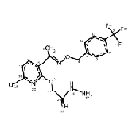 C/C(=N\OCc1ccc(C(F)(F)F)cc1)c1ccc(Cl)nc1OCC(=N)NN